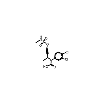 CNS(=O)(=O)OC#CC(C)N(C(=O)O)c1ccc(Cl)c(Cl)c1